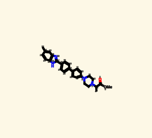 COC(=O)C(C)N1CCN(c2ccc(-c3ccc(-c4nc5cc(C)ccc5[nH]4)cc3)cc2)CC1